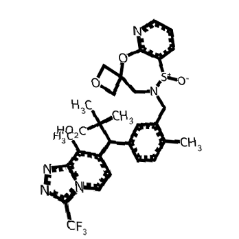 Cc1ccc(C(c2ccn3c(C(F)(F)F)nnc3c2C)C(C)(C)C(=O)O)cc1CN1CC2(COC2)Oc2ncccc2[S+]1[O-]